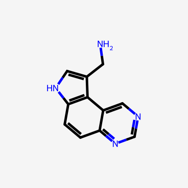 NCc1c[nH]c2ccc3ncncc3c12